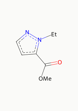 CCn1nccc1C(=O)OC